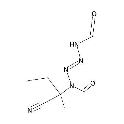 CCC(C)(C#N)N(C=O)N=NNC=O